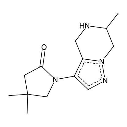 CC1Cn2ncc(N3CC(C)(C)CC3=O)c2CN1